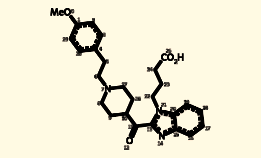 COc1ccc(CCN2CCC(C(=O)c3nc4ccccc4n3CCCC(=O)O)CC2)cc1